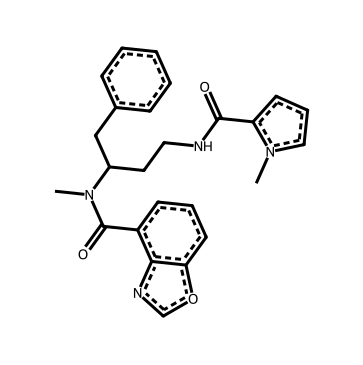 CN(C(=O)c1cccc2ocnc12)C(CCNC(=O)c1cccn1C)Cc1ccccc1